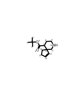 CC(C)(C)OC(=O)C1CCNCC12C=CCC2